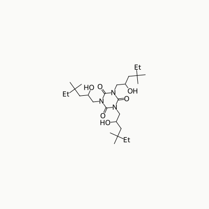 CCC(C)(C)CC(O)Cn1c(=O)n(CC(O)CC(C)(C)CC)c(=O)n(CC(O)CC(C)(C)CC)c1=O